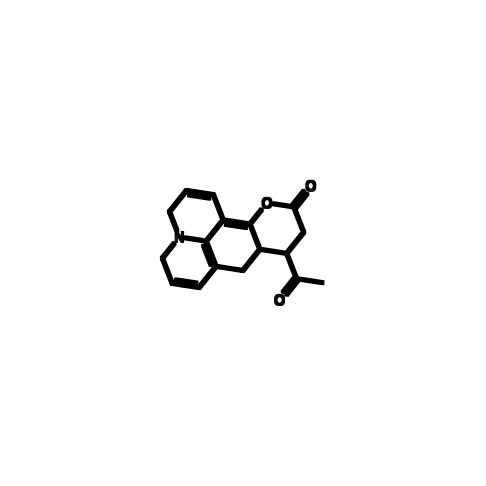 CC(=O)C1CC(=O)OC2=C3C=CCN4CC=CC(=C34)CC21